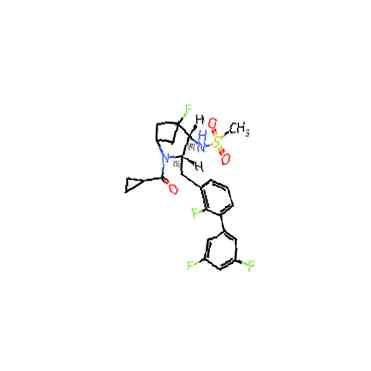 CS(=O)(=O)N[C@@H]1[C@H](Cc2cccc(-c3cc(F)cc(F)c3)c2F)N(C(=O)C2CC2)C2CC1(F)C2